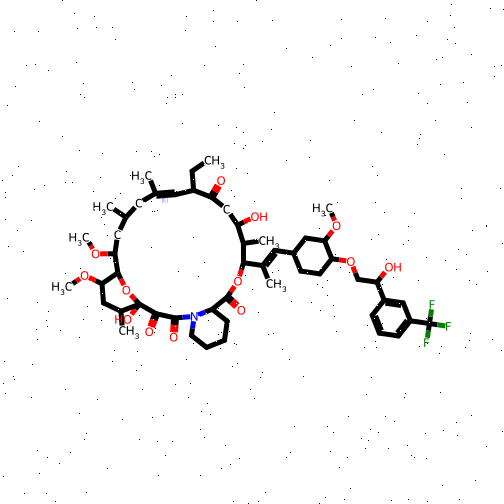 CCC1/C=C(\C)CC(C)CC(OC)C2OC(O)(C(=O)C(=O)N3CCCCC3C(=O)OC(C(C)=CC3CCC(OCC(O)c4cccc(C(F)(F)F)c4)C(OC)C3)C(C)C(O)CC1=O)C(C)CC2OC